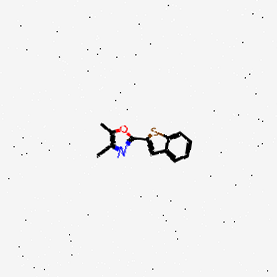 Cc1nc(-c2cc3ccccc3s2)oc1C